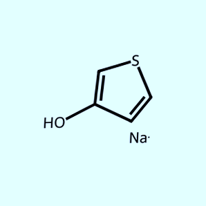 Oc1ccsc1.[Na]